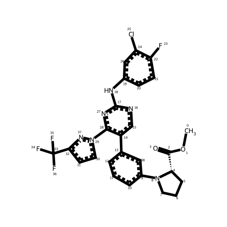 COC(=O)[C@@H]1CCCN1c1cccc(-c2cnc(Nc3ccc(F)c(Cl)c3)nc2-n2ccc(C(F)(F)F)n2)c1